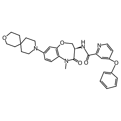 CN1C(=O)[C@H](NC(=O)c2cc(Oc3ccccc3)ccn2)COc2cc(N3CCC4(CCOCC4)CC3)ccc21